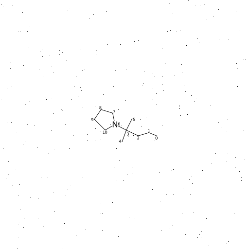 CCCC(C)(C)N1CCCC1